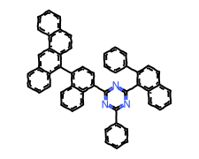 c1ccc(-c2nc(-c3c(-c4ccccc4)ccc4ccccc34)nc(-c3ccc(-c4c5ccccc5cc5c4ccc4ccccc45)c4ccccc34)n2)cc1